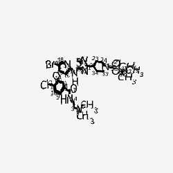 CN(C)CCNC(=O)c1ccc(Cl)c(Oc2cc(Nc3nc(C4CCN(C(=O)OC(C)(C)C)CC4)ns3)ncc2Br)c1